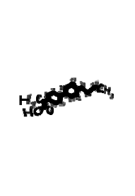 C=C(C(=O)O)C1CCC(C2CCC(CCCC)CC2)CC1